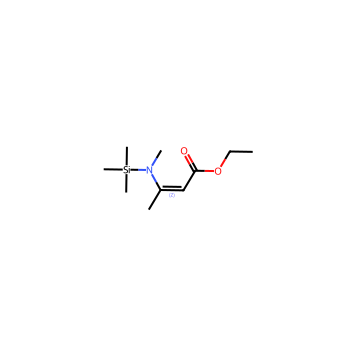 CCOC(=O)/C=C(/C)N(C)[Si](C)(C)C